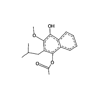 COc1c(CC(C)C)c(OC(C)=O)c2ccccc2c1O